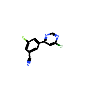 N#Cc1cc(F)cc(-c2cc(Cl)ncn2)c1